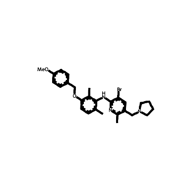 COc1ccc(COc2ccc(C)c(Nc3nc(C)c(CN4CCCC4)cc3Br)c2C)cc1